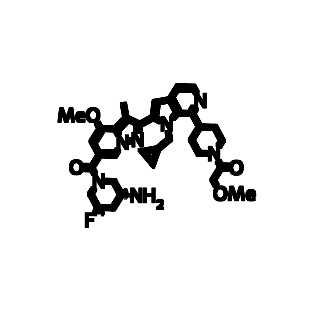 COCC(=O)N1CCC(c2nccc3cc(-c4nn5cc(C(=O)N6C[C@H](N)C[C@@H](F)C6)cc(OC)c5c4C)n(CC4CC4)c23)CC1